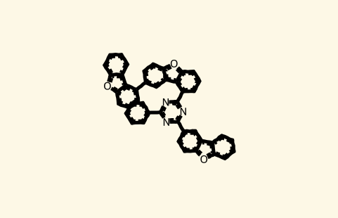 c1ccc(-c2nc(-c3ccc4oc5ccccc5c4c3)nc(-c3cccc4oc5ccc(-c6cccc7oc8ccccc8c67)cc5c34)n2)cc1